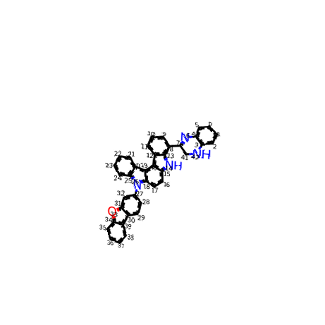 c1ccc2c(c1)N=C(c1cccc3c1[nH]c1ccc4c(c5ccccc5n4-c4ccc5c(c4)oc4ccccc45)c13)CN2